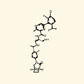 Cc1cc(N2C[C@H]3CC[C@H]3C2=O)ccc1C(C)N/C=C(\C=N)NC(=O)c1nc(-c2c(C(F)F)ccc(Cl)c2F)cnc1C